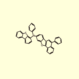 c1ccc(-c2cc3c4ccc(N(c5ccccc5)c5cccc6c5sc5ccccc56)cc4oc3c3ccccc23)cc1